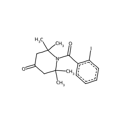 CC1(C)CC(=O)CC(C)(C)N1C(=O)c1ccccc1I